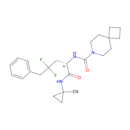 N#CC1(NC(=O)[C@H](CC(F)(F)Cc2ccccc2)NC(=O)N2CCC3(CCC3)CC2)CC1